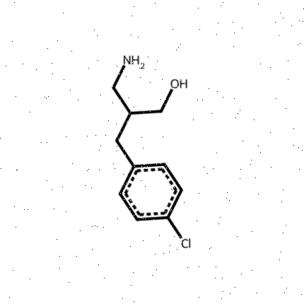 NCC(CO)Cc1ccc(Cl)cc1